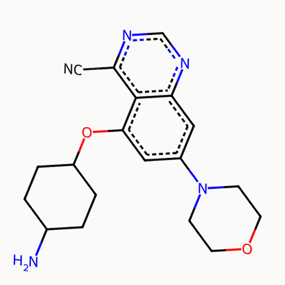 N#Cc1ncnc2cc(N3CCOCC3)cc(OC3CCC(N)CC3)c12